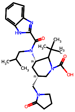 CC(C)CN(C(=O)c1nc2ccccc2[nH]1)[C@H]1C[C@@H](CN2CCCC2=O)CN(C(=O)O)C1C(C)(C)C